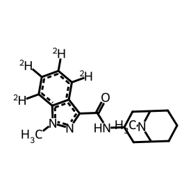 [2H]c1c([2H])c([2H])c2c(c(C(=O)NC3CC4CCCC(C3)N4C)nn2C)c1[2H]